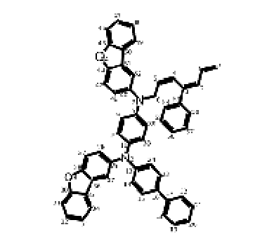 C=C/C=C(\C=C/CN(c1ccc(N(c2ccc(-c3ccccc3)cc2)c2ccc3oc4ccccc4c3c2)cc1)c1ccc2oc3ccccc3c2c1)c1ccccc1